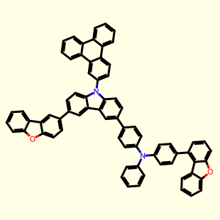 c1ccc(N(c2ccc(-c3ccc4c(c3)c3cc(-c5ccc6oc7ccccc7c6c5)ccc3n4-c3ccc4c5ccccc5c5ccccc5c4c3)cc2)c2ccc(-c3cccc4oc5ccccc5c34)cc2)cc1